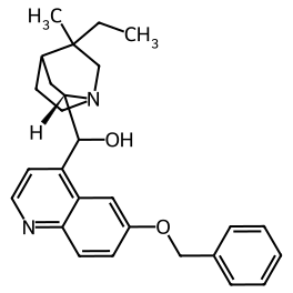 CCC1(C)CN2CCC1C[C@H]2C(O)c1ccnc2ccc(OCc3ccccc3)cc12